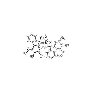 COc1cc(C(C)(O[PH](=O)OC(C)(c2cccnc2)c2cc(C)c(O)c(OC)c2)c2cccnc2)cc(C)c1O